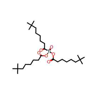 CC(C)(C)CCCCCC(=O)[O][Ti](=[O])([O]C(=O)CCCCCC(C)(C)C)[C](=O)CCCCCC(C)(C)C